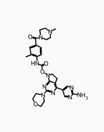 Cc1cc(C(=O)N2CCN(C)CC2)ccc1NC(=O)ON1CCc2c(-c3cnc(N)nc3)nc(N3CCOCC3)nc21